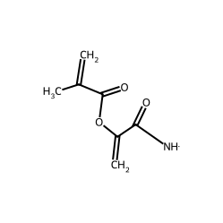 C=C(C)C(=O)OC(=C)C([NH])=O